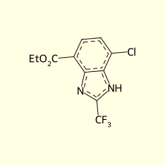 CCOC(=O)c1ccc(Cl)c2[nH]c(C(F)(F)F)nc12